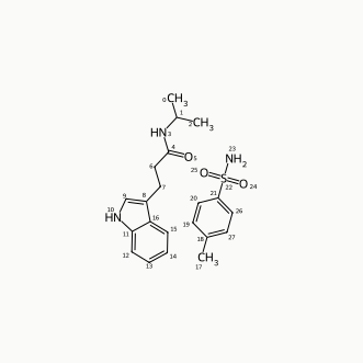 CC(C)NC(=O)CCc1c[nH]c2ccccc12.Cc1ccc(S(N)(=O)=O)cc1